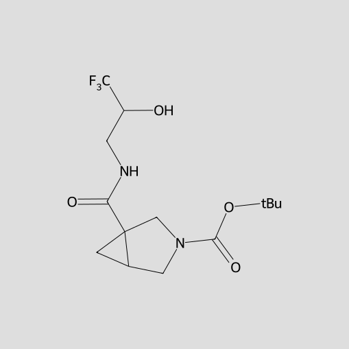 CC(C)(C)OC(=O)N1CC2CC2(C(=O)NCC(O)C(F)(F)F)C1